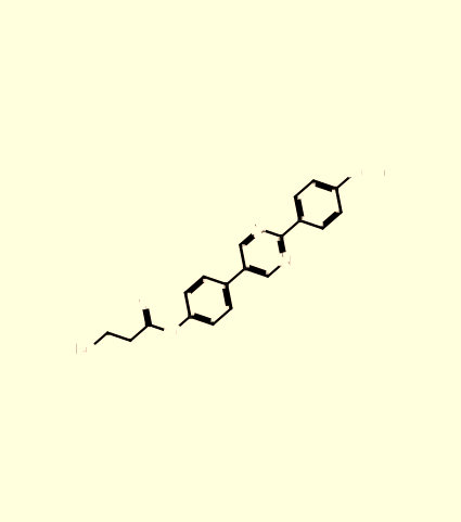 CCCCCCCCc1ccc(-c2ncc(-c3ccc(OC(=O)CCC(C)CC)cc3)cn2)cc1